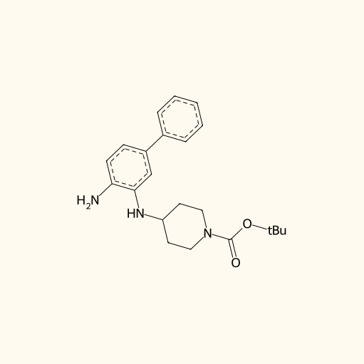 CC(C)(C)OC(=O)N1CCC(Nc2cc(-c3ccccc3)ccc2N)CC1